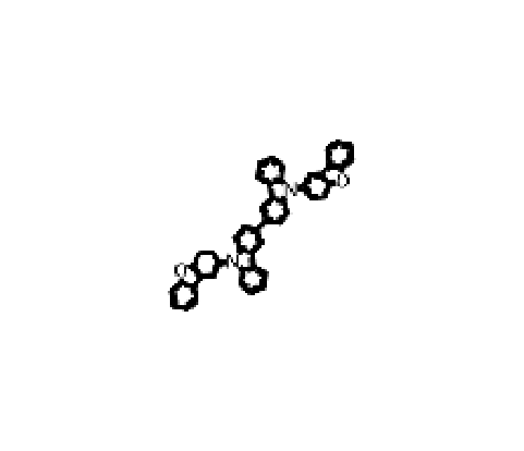 C1=CC2OC3=C(C=C(n4c5ccccc5c5cc(-c6ccc7c(c6)c6ccccc6n7-c6ccc7oc8ccccc8c7c6)ccc54)CC3)C2C=C1